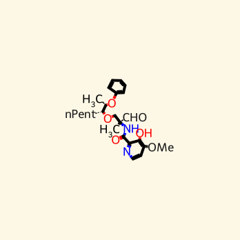 CCCCC[C@@H](OC[C@@](C)(C=O)NC(=O)c1nccc(OC)c1O)[C@H](C)Oc1ccccc1